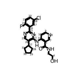 O=C(NCCO)c1cnccc1Nc1nc(-c2cc(Cl)ccc2F)ncc1C1CCCC1